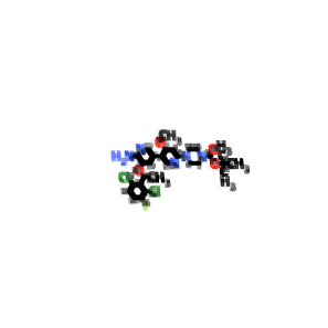 COc1cc(N2CCN(C(=O)OC(C)(C)C)CC2)ncc1-c1cnc(N)c(OC(C)c2c(Cl)ccc(F)c2Cl)c1